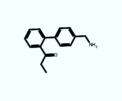 CCC(=O)c1ccccc1-c1ccc(CN)cc1